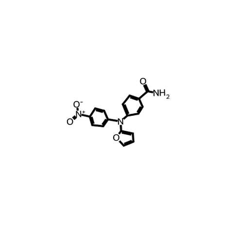 NC(=O)c1ccc(N(c2ccc([N+](=O)[O-])cc2)c2ccco2)cc1